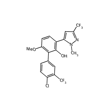 COc1ccc(-c2cc(C(F)(F)F)nn2C)c(O)c1-c1ccc(Cl)c(C(F)(F)F)c1